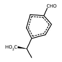 C[C@@H](C(=O)O)c1ccc(C=O)cc1